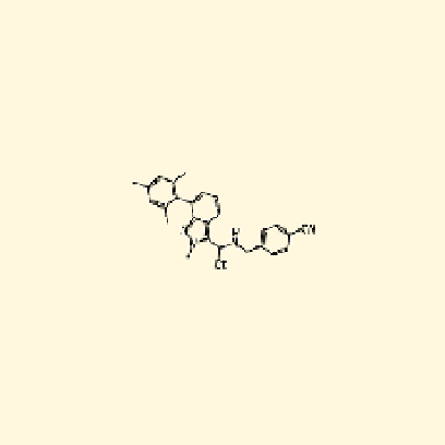 CCC(NCc1ccc(C#N)cc1)c1c2cccc(-c3c(C)cc(C)cc3C)c2nn1C